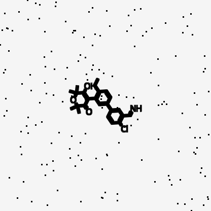 CCc1ccc(-c2ccc(Cl)c(C=N)c2)cc1C1=C(O)C(C)(C)OC(C)(C)C1=O